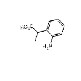 CC(C(=O)O)c1ccccc1N